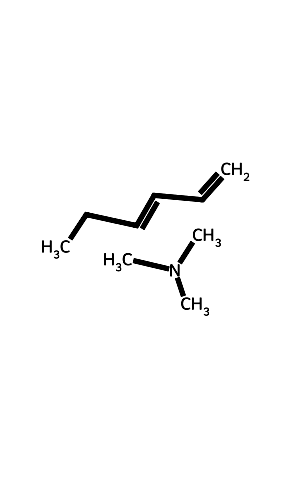 C=CC=CCC.CN(C)C